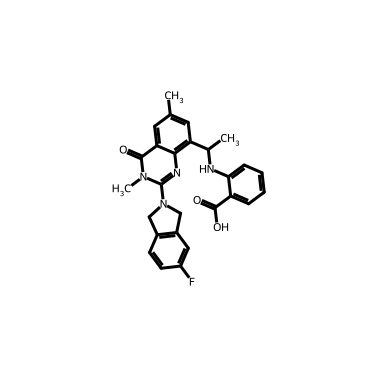 Cc1cc(C(C)Nc2ccccc2C(=O)O)c2nc(N3Cc4ccc(F)cc4C3)n(C)c(=O)c2c1